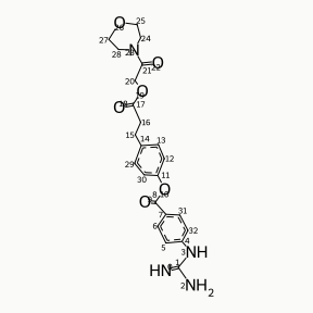 N=C(N)Nc1ccc(C(=O)Oc2ccc(CCC(=O)OCC(=O)N3CCOCC3)cc2)cc1